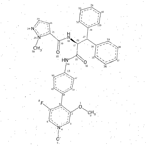 COc1c[n+]([O-])cc(F)c1-c1ccc(NC(=O)[C@@H](NC(=O)c2ccnn2C)C(c2ccccc2)c2ccccc2)cc1